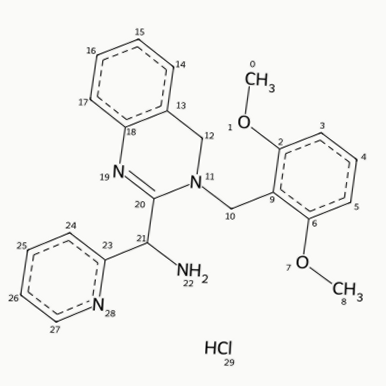 COc1cccc(OC)c1CN1Cc2ccccc2N=C1C(N)c1ccccn1.Cl